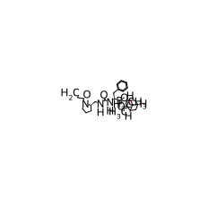 C=CC(=O)N1CCC[C@@H]1CNC(=O)N[C@@H](Cc1ccccc1)B1O[C@@H]2C[C@@H]3C[C@@H](C3(C)C)[C@]2(C)O1